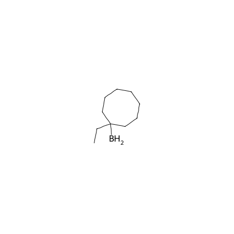 BC1(CC)CCCCCCC1